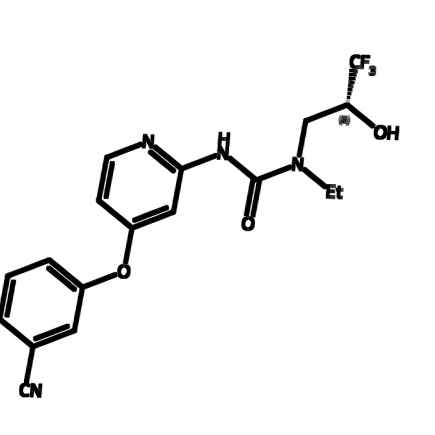 CCN(C[C@@H](O)C(F)(F)F)C(=O)Nc1cc(Oc2cccc(C#N)c2)ccn1